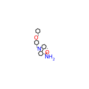 NC(=O)c1cccc2c1c1[c]cccc1n2Cc1ccc(OCc2ccccc2)cc1